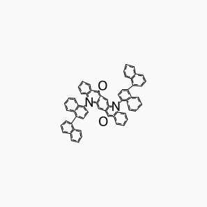 O=c1c2ccccc2n(-c2ccc(-c3cccc4ccccc34)c3ccccc23)c2cc3c(=O)c4ccccc4n(-c4ccc(-c5cccc6ccccc56)c5ccccc45)c3cc12